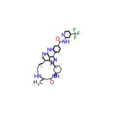 C[C@@H]1CC(=O)N[C@@H]2CCC[C@H](C2)n2nc(-c3ccc(C(=O)Nc4cc(C(F)(F)F)ccn4)cc3)c3c(N)ncc(c32)/C=C/CCN1